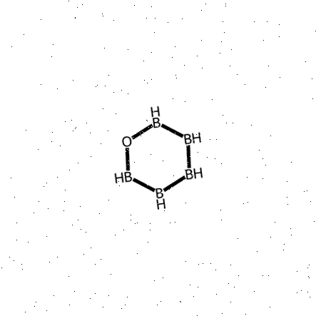 B1BBOBB1